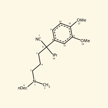 CCCCCCCCCCN(C)CCCC(C#N)(c1ccc(OC)c(OC)c1)C(C)C